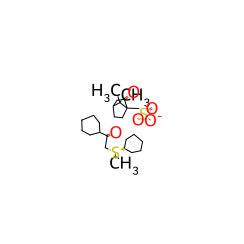 CC1(C)C2CCC1(CS(=O)(=O)[O-])C(=O)C2.C[S+](CC(=O)C1CCCCC1)C1CCCCC1